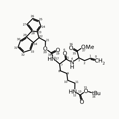 C=CCC(NC(=O)C(CCCCNC(=O)OC(C)(C)C)NC(=O)OCC1c2ccccc2-c2ccccc21)C(=O)OC